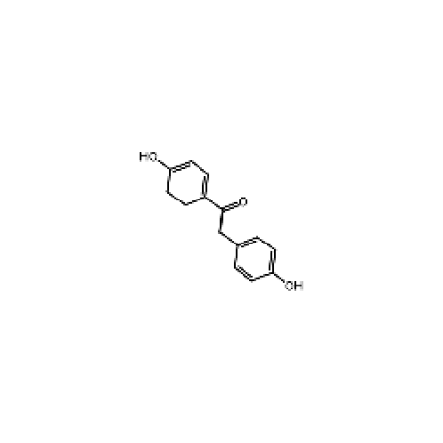 O=C(Cc1ccc(O)cc1)C1=CC=C(O)CC1